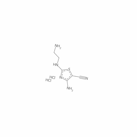 Cl.Cl.N#Cc1sc(NCCN)nc1N